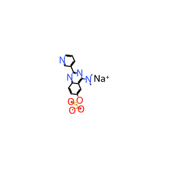 CN(C)c1nc(-c2cccnc2)nc2ccc(OS(=O)(=O)[O-])cc12.[Na+]